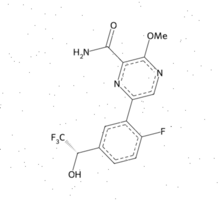 COc1ncc(-c2cc([C@H](O)C(F)(F)F)ccc2F)nc1C(N)=O